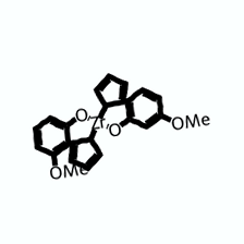 COc1cccc([O][Zr]([O]c2cccc(OC)c2)([CH]2C=CC=C2)[CH]2C=CC=C2)c1